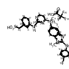 CN(c1ccc2c(c1)nc(Nc1ccc(F)cc1)n2C)c1ccnc(Nc2cccc(CS(=O)(=O)O)c2)n1.O=C(O)C(F)(F)F